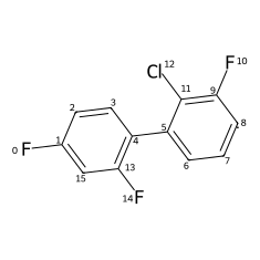 Fc1ccc(-c2cc[c]c(F)c2Cl)c(F)c1